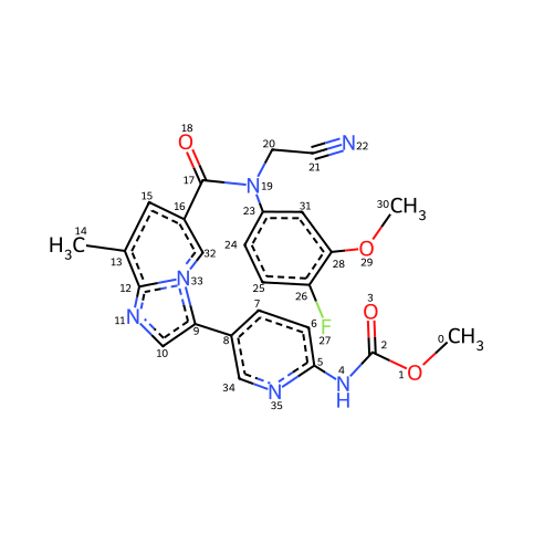 COC(=O)Nc1ccc(-c2cnc3c(C)cc(C(=O)N(CC#N)c4ccc(F)c(OC)c4)cn23)cn1